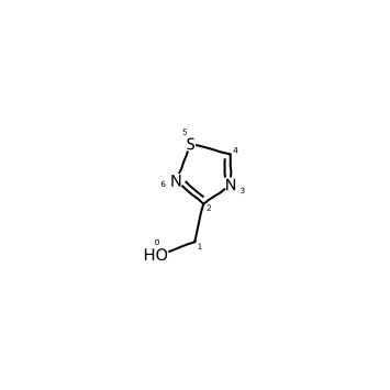 OCc1ncsn1